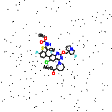 COC(=O)C1CCCCN(c2nc(OC[C@@]34CCCN3C[C@H](F)C4)nc3c(F)c(-c4ccc(F)c5sc(NC(=O)OC(C)(C)C)c(C#N)c45)c(Cl)cc23)C1